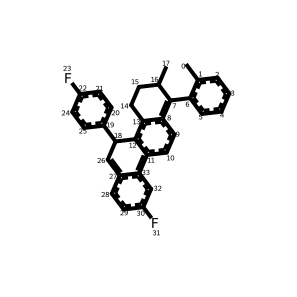 Cc1ccccc1C1=c2ccc3c(c2CCC1C)C(c1ccc(F)cc1)C=c1ccc(F)cc1=3